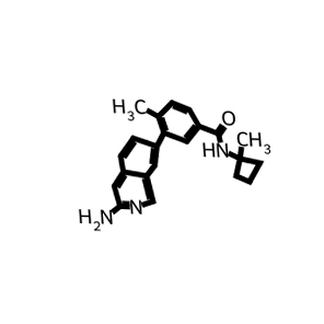 Cc1ccc(C(=O)NC2(C)CCC2)cc1-c1ccc2cc(N)ncc2c1